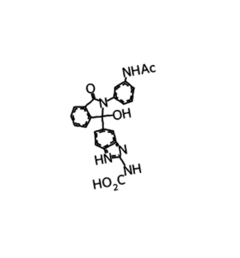 CC(=O)Nc1cccc(N2C(=O)c3ccccc3C2(O)c2ccc3[nH]c(NC(=O)O)nc3c2)c1